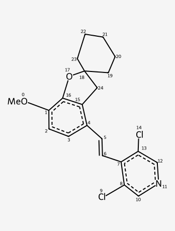 COc1ccc(/C=C/c2c(Cl)cncc2Cl)c2c1OC1(CCCCC1)C2